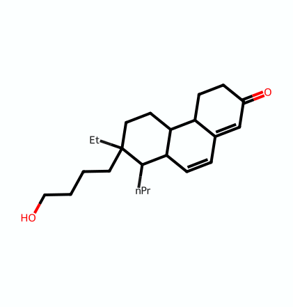 CCCC1C2C=CC3=CC(=O)CCC3C2CCC1(CC)CCCCO